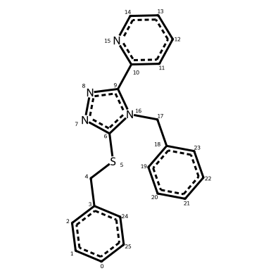 c1ccc(CSc2nnc(-c3ccccn3)n2Cc2ccccc2)cc1